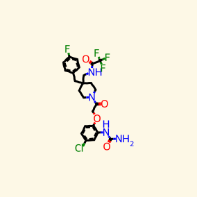 NC(=O)Nc1cc(Cl)ccc1OCC(=O)N1CCC(CNC(=O)C(F)(F)F)(Cc2ccc(F)cc2)CC1